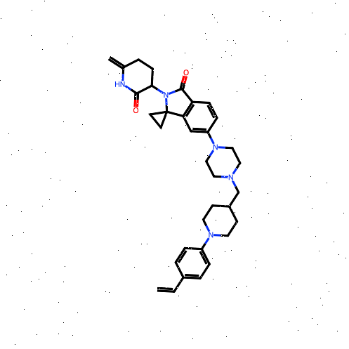 C=Cc1ccc(N2CCC(CN3CCN(c4ccc5c(c4)C4(CC4)N(C4CCC(=C)NC4=O)C5=O)CC3)CC2)cc1